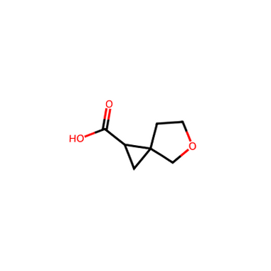 O=C(O)C1CC12CCOC2